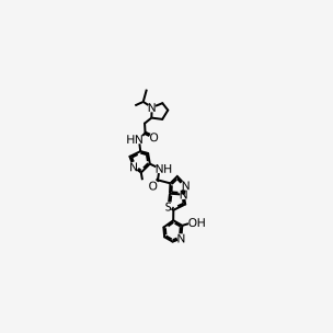 Cc1ncc(NC(=O)CC2CCCN2C(C)C)cc1NC(=O)c1cnn2cc(-c3cccnc3O)sc12